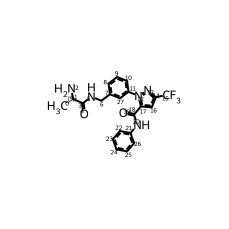 C[C@H](N)C(=O)NCc1cccc(-n2nc(C(F)(F)F)cc2C(=O)Nc2ccccc2)c1